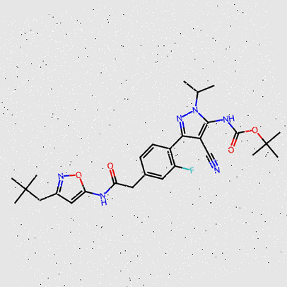 CC(C)n1nc(-c2ccc(CC(=O)Nc3cc(CC(C)(C)C)no3)cc2F)c(C#N)c1NC(=O)OC(C)(C)C